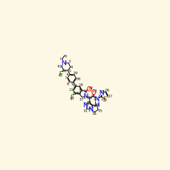 CCN1CCC(c2ccc(-c3cc(F)c4c(c3)C(=O)N(C(C(=O)Nc3nccs3)c3ncn5c3CCC5)C4)cc2)C(F)C1